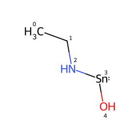 CC[NH][Sn][OH]